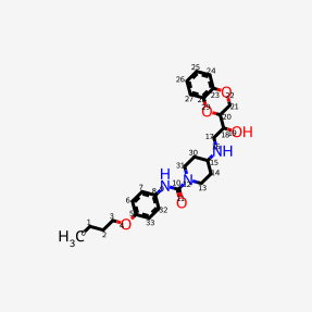 CCCCOc1ccc(NC(=O)N2CCC(NCC(O)C3COc4ccccc4O3)CC2)cc1